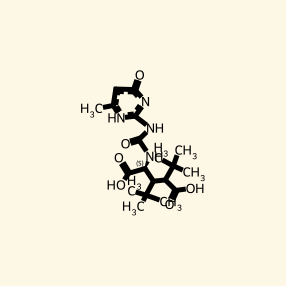 Cc1cc(=O)nc(NC(=O)N[C@H](C(=O)O)C(C(C(=O)O)C(C)(C)C)C(C)(C)C)[nH]1